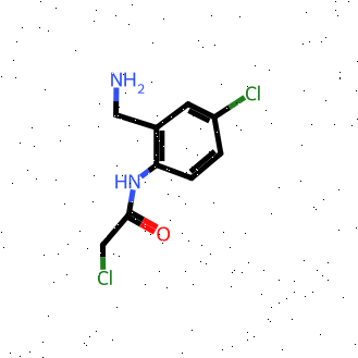 NCc1cc(Cl)ccc1NC(=O)CCl